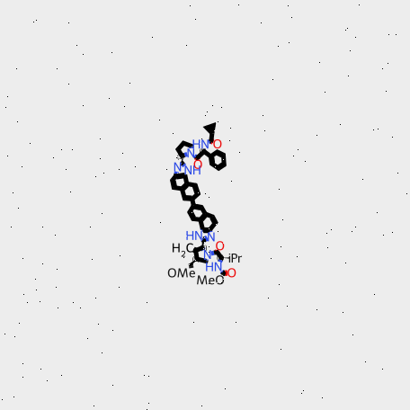 C=C1[C@H](COC)CN(C(=O)[C@@H](NC(=O)OC)C(C)C)[C@@H]1c1nc2ccc3cc(-c4ccc5c(ccc6nc([C@@H]7CCCN7C(=O)[C@H](NC(=O)C7CC7)c7ccccc7)[nH]c65)c4)ccc3c2[nH]1